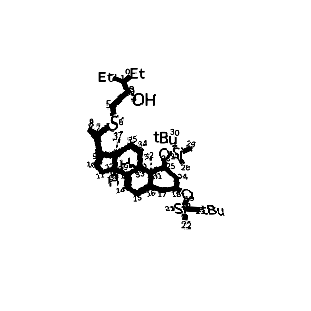 CCC(CC)[C@H](O)CSC(C)C1=CC[C@H]2C3=CC=C4CC(O[Si](C)(C)C(C)(C)C)CC(O[Si](C)(C)C(C)(C)C)[C@]4(C)[C@H]3CC[C@]12C